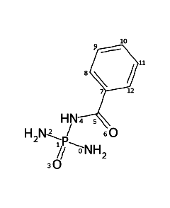 NP(N)(=O)NC(=O)c1c[c]ccc1